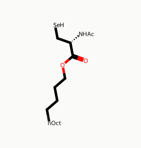 CCCCCCCCCCCCOC(=O)[C@H](C[SeH])NC(C)=O